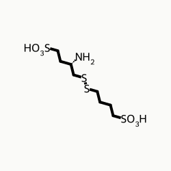 N[C@@H](CCS(=O)(=O)O)CSSCCCCS(=O)(=O)O